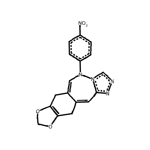 O=[N+]([O-])c1ccc(N2C=C3CC4=C(CC3=Cc3nncn32)OCO4)cc1